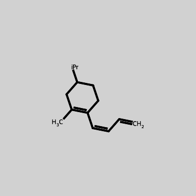 C=C/C=C\C1=C(C)CC(C(C)C)CC1